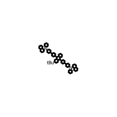 CC(C)(C)c1ccc2c(-c3ccc(-c4ccc(N(c5ccccc5)c5cccc6ccccc56)cc4)cc3)c3ccccc3c(-c3ccc(-c4ccc(N(c5ccccc5)c5cccc6ccccc56)cc4)cc3)c2c1